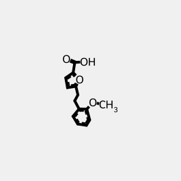 COc1ccccc1CCc1ccc(C(=O)O)o1